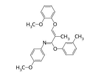 COc1ccc(N=C(Oc2cccc(C)c2)C(C)=COc2ccccc2OC)cc1